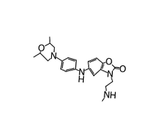 CNCCn1c(=O)oc2ccc(Nc3ccc(N4CC(C)OC(C)C4)cc3)cc21